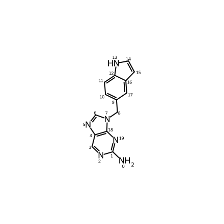 Nc1ncc2ncn(Cc3ccc4[nH]ccc4c3)c2n1